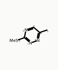 CSc1ncc(C)nn1